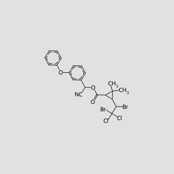 CC1(C)C(C(=O)OC(C#N)c2cccc(Oc3ccccc3)c2)C1C(Br)C(Cl)(Cl)Br